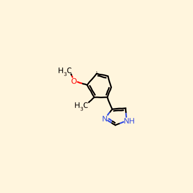 COc1[c]ccc(-c2c[nH]cn2)c1C